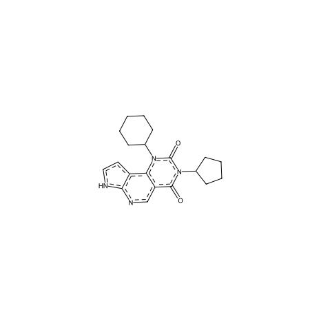 O=c1c2cnc3[nH]ccc3c2n(C2CCCCC2)c(=O)n1C1CCCC1